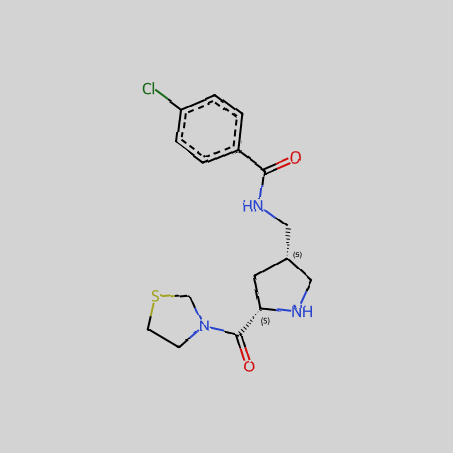 O=C(NC[C@@H]1CN[C@H](C(=O)N2CCSC2)C1)c1ccc(Cl)cc1